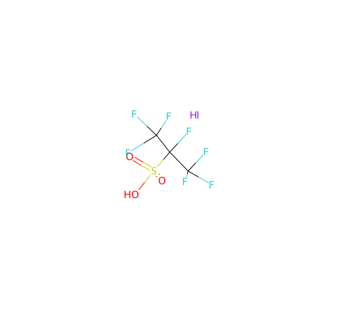 I.O=S(=O)(O)C(F)(C(F)(F)F)C(F)(F)F